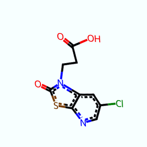 O=C(O)CCn1c(=O)sc2ncc(Cl)cc21